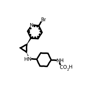 O=C(O)NC1CCC(N[C@@H]2C[C@H]2c2ccc(Br)nc2)CC1